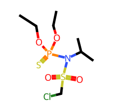 CCOP(=S)(OCC)N(C(C)C)S(=O)(=O)CCl